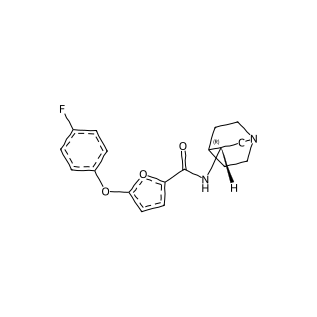 O=C(N[C@H]1CN2CCC1CC2)c1ccc(Oc2ccc(F)cc2)o1